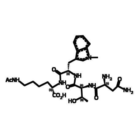 CC(=O)NCCCC[C@H](NC(=O)[C@H](Cc1cn(C)c2ccccc12)NC(=O)[C@@H](NC(=O)[C@@H](N)CC(N)=O)[C@@H](C)O)C(=O)O